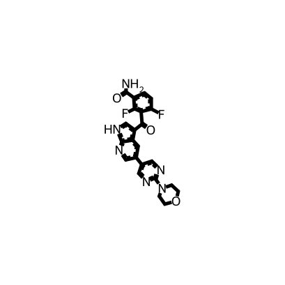 NC(=O)c1ccc(F)c(C(=O)c2c[nH]c3ncc(-c4cnc(N5CCOCC5)nc4)cc23)c1F